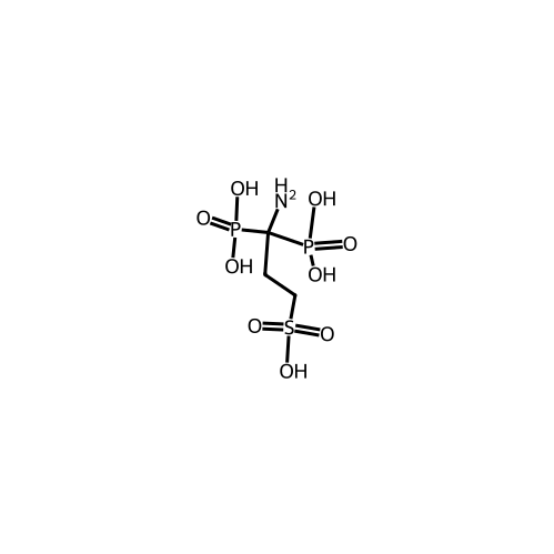 NC(CCS(=O)(=O)O)(P(=O)(O)O)P(=O)(O)O